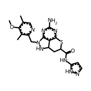 COc1c(C)cnc(CN2NC3CC(C(=O)Nc4ccn[nH]4)Sc4nc(N)nc2c43)c1C